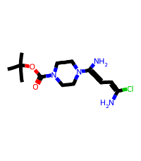 CC(C)(C)OC(=O)N1CCN(/C(N)=C/C=C(\N)Cl)CC1